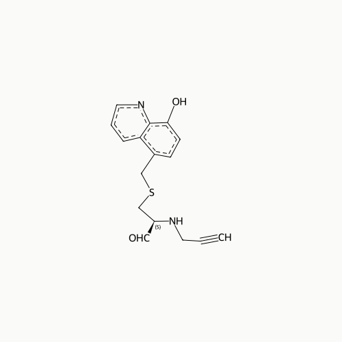 C#CCN[C@@H](C=O)CSCc1ccc(O)c2ncccc12